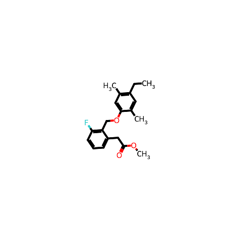 CCc1cc(C)c(OCc2c(F)cccc2CC(=O)OC)cc1C